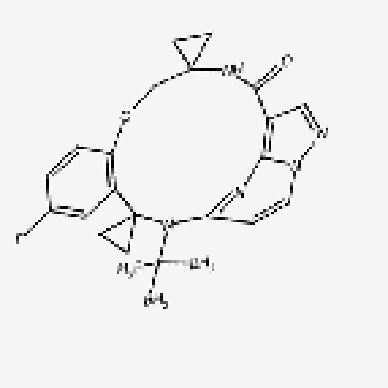 BC(B)(B)N1c2ccn3ncc(c3n2)C(=O)NC2(CC2)COc2ccc(F)cc2C12CC2